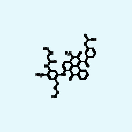 CCCCNCC(=O)Nc1cc(Nc2ccc3c4c2C(=O)c2ccccc2-c4c(C(=O)c2cccc(OS(=O)O)c2)c(=O)n3C)c(SOOO)cc1S(=O)(=O)O